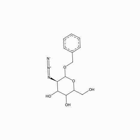 [N-]=[N+]=N[C@H]1C(OCc2ccccc2)OC(CO)C(O)C1O